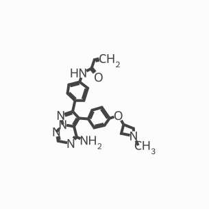 C=CC(=O)Nc1ccc(-c2nn3ncnc(N)c3c2-c2ccc(OC3CN(C)C3)cc2)cc1